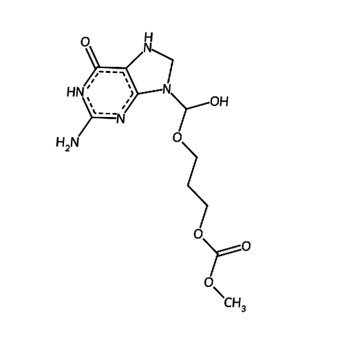 COC(=O)OCCCOC(O)N1CNc2c1nc(N)[nH]c2=O